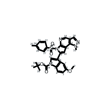 COc1ccc2c(c1)c(-c1cc3c4c(cnc3n1S(=O)(=O)c1ccc(C)cc1)cnn4C)cn2C(=O)OC(C)(C)C